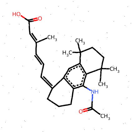 CC(=O)Nc1c2c(cc3c1C(C)(C)CCC3(C)C)\C(=C/C=C/C(C)=C/C(=O)O)CCC2